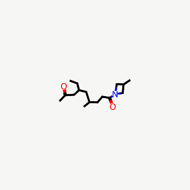 CCC(CC(C)=O)CC(C)CCC(=O)N1CC(C)C1